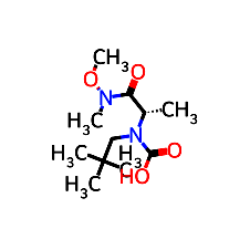 CON(C)C(=O)[C@H](C)N(CC(C)(C)C)C(=O)O